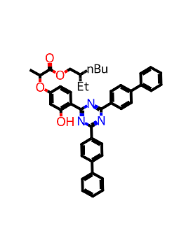 CCCCC(CC)COC(=O)C(C)Oc1ccc(-c2nc(-c3ccc(-c4ccccc4)cc3)nc(-c3ccc(-c4ccccc4)cc3)n2)c(O)c1